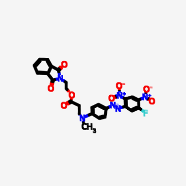 CN(CCC(=O)OCCN1C(=O)c2ccccc2C1=O)c1ccc(/N=N/c2cc(F)c([N+](=O)[O-])cc2[N+](=O)[O-])cc1